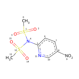 CS(=O)(=O)N(c1ccc([N+](=O)[O-])cn1)S(C)(=O)=O